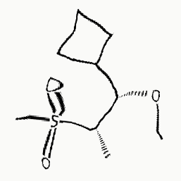 CO[C@@H](C1CCC1)[C@H](C)S(C)(=O)=O